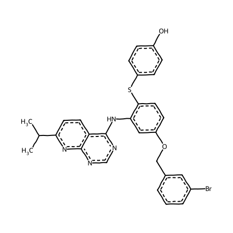 CC(C)c1ccc2c(Nc3cc(OCc4cccc(Br)c4)ccc3Sc3ccc(O)cc3)ncnc2n1